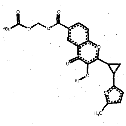 CCOc1c(C2CC2c2ccc(C)s2)oc2ccc(C(=O)OCOC(=O)C(C)(C)C)cc2c1=O